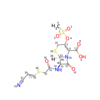 CS(=O)(=O)OC1=C(C(=O)O)N2C(=O)[C@@H](NC(=O)CS/C=C/C#N)[C@H]2SC1